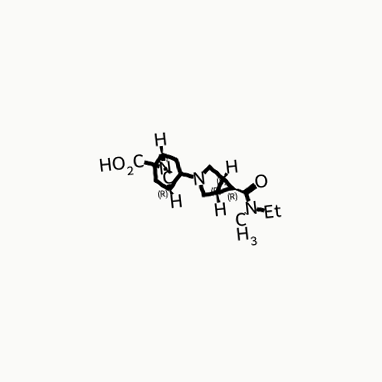 CCN(C)C(=O)[C@H]1[C@@H]2CN(C3C[C@H]4CC[C@@H]3CN4C(=O)O)C[C@@H]21